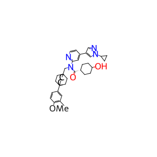 COc1ccc(C23CCC(CN(c4cc(-c5cnn(C6CC6)c5)ccn4)C(=O)[C@H]4CC[C@H](O)CC4)(CC2)CC3)cc1C